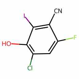 N#Cc1c(F)cc(Cl)c(O)c1I